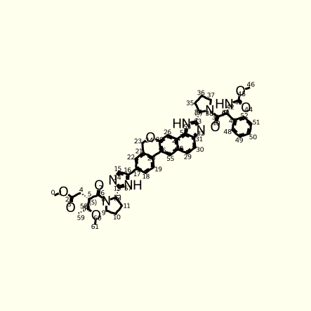 COC(=O)C[C@H](C(=O)N1CCC[C@H]1c1ncc(-c2ccc3c(c2)COc2cc4c(ccc5nc([C@@H]6CCCN6C(=O)[C@H](NC(=O)OC)c6ccccc6)[nH]c54)cc2-3)[nH]1)[C@@H](C)OC